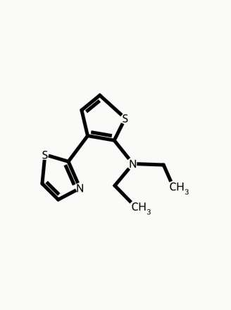 CCN(CC)c1sccc1-c1nccs1